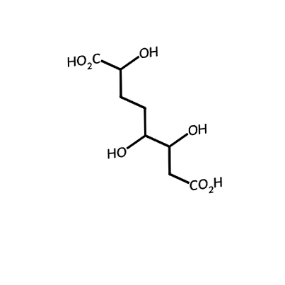 O=C(O)CC(O)C(O)CCC(O)C(=O)O